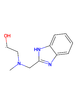 CN(C[CH]O)Cc1nc2ccccc2[nH]1